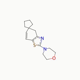 C1=CC2(CCCC2)Cc2nc(N3CCOCC3)sc21